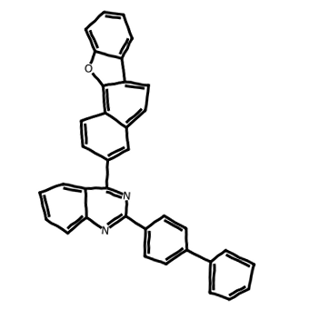 c1ccc(-c2ccc(-c3nc(-c4ccc5c(ccc6c7ccccc7oc56)c4)c4ccccc4n3)cc2)cc1